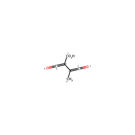 CC(=C=O)C(=C=O)C(=O)O